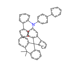 CC1(C)c2ccccc2C2(c3ccccc3-c3cc(N(c4ccc(-c5ccccc5)cc4)c4ccccc4-c4ccccc4)ccc32)c2ccccc21